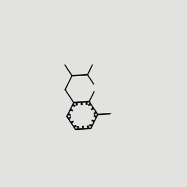 O=C(O)c1cccc2c1OC(Cl)C(Cl)C2